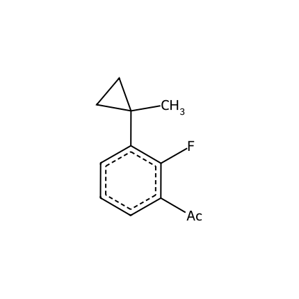 CC(=O)c1cccc(C2(C)CC2)c1F